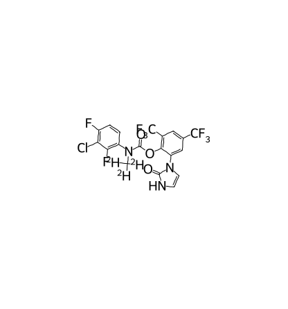 [2H]C([2H])([2H])N(C(=O)Oc1c(-n2cc[nH]c2=O)cc(C(F)(F)F)cc1C(F)(F)F)c1ccc(F)c(Cl)c1F